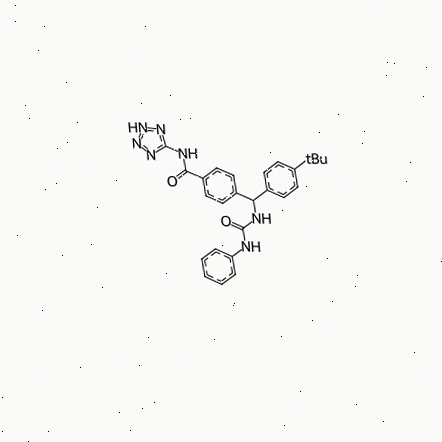 CC(C)(C)c1ccc(C(NC(=O)Nc2ccccc2)c2ccc(C(=O)Nc3nn[nH]n3)cc2)cc1